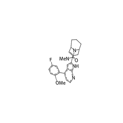 CNC(=O)N1C2C=C(c3cc4c(-c5cc(F)ccc5OC)ccnc4[nH]3)CC1CCC2